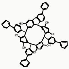 Oc1cc(O)c2cc1[C@H](c1ccc(-c3ccccc3)cc1)c1cc(c(O)cc1O)[C@H](c1ccc(-c3ccccc3)cc1)c1cc(c(O)cc1O)[C@H](c1ccc(-c3ccccc3)cc1)c1cc(c(O)cc1O)[C@@H]2c1ccc(-c2ccccc2)cc1